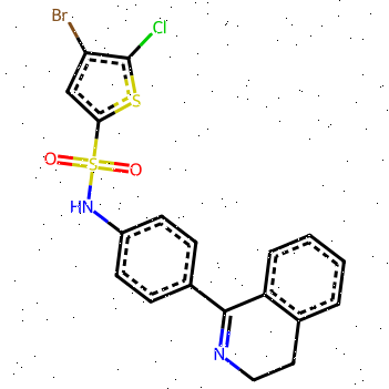 O=S(=O)(Nc1ccc(C2=NCCc3ccccc32)cc1)c1cc(Br)c(Cl)s1